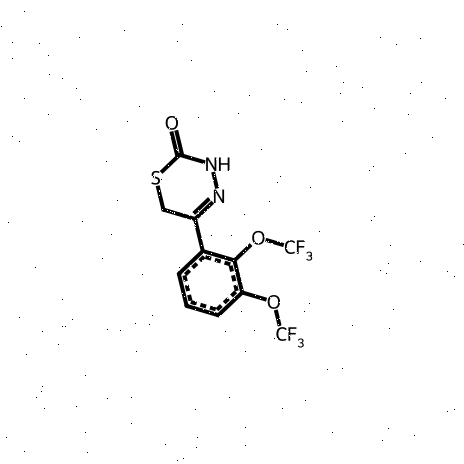 O=C1NN=C(c2cccc(OC(F)(F)F)c2OC(F)(F)F)CS1